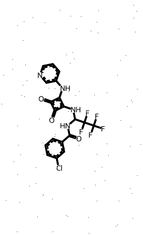 O=C(NC(Nc1c(Nc2cccnc2)c(=O)c1=O)C(F)(F)C(F)(F)F)c1cccc(Cl)c1